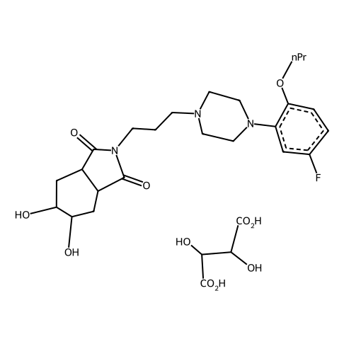 CCCOc1ccc(F)cc1N1CCN(CCCN2C(=O)C3CC(O)C(O)CC3C2=O)CC1.O=C(O)C(O)C(O)C(=O)O